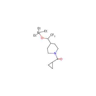 CC[Si](CC)(CC)OC(C1CCN(C(=O)C2CC2)CC1)C(F)(F)F